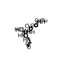 CC(C)(CNCC1=Cc2c(ncnc2Nc2ccc(Oc3cccc(C(=O)NC(C)(C)C)c3)c(Cl)c2)NCC1)CS(C)(=O)=O.Cl.Cl